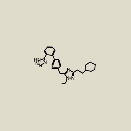 CCn1nc(CCC2CCCCC2)nc1Cc1ccc(-c2ccccc2-c2nnn[nH]2)cc1